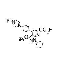 CC(C)Oc1nn(C2CCCCC2)c2nc(C(=O)O)cc(-c3ccc(N4CCN(C(C)C)CC4)cc3)c12